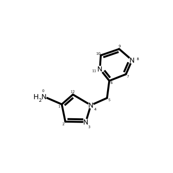 Nc1cnn(Cc2cnccn2)c1